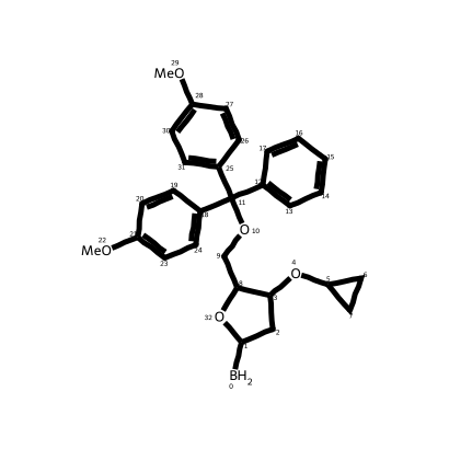 BC1CC(OC2CC2)C(COC(c2ccccc2)(c2ccc(OC)cc2)c2ccc(OC)cc2)O1